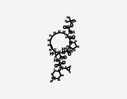 CN1CCC(N(C2CC2)S(=O)(=O)NC(=O)[C@@]23C[C@H]2/C=C\CCCCC[C@H](NC(=O)OC(C)(C)C)C(=O)N2CCC[C@H]2C(=O)N3)CC1